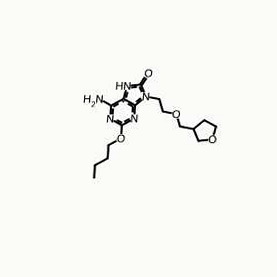 CCCCOc1nc(N)c2[nH]c(=O)n(CCOCC3CCOC3)c2n1